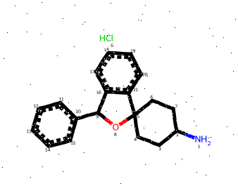 Cl.NC1CCC2(CC1)OC(c1ccccc1)c1ccccc12